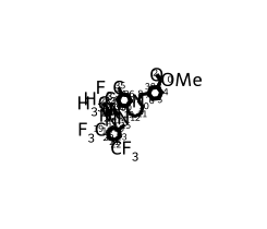 COC(=O)c1cccc(CN2CCCC(N(Cc3cc(C(F)(F)F)cc(C(F)(F)F)c3)c3nnn(C)n3)c3cc(C)c(C(F)(F)F)cc32)c1